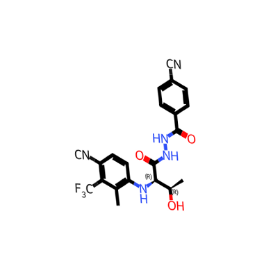 [C-]#[N+]c1ccc(N[C@@H](C(=O)NNC(=O)c2ccc(C#N)cc2)[C@@H](C)O)c(C)c1C(F)(F)F